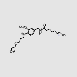 COc1cc(CNC(=O)CCCC/C=C/C(C)C)ccc1NCCCOCCO